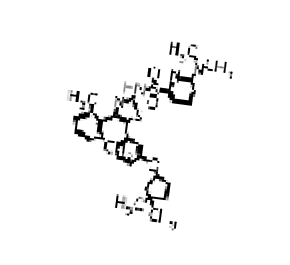 Cc1cccc(C)c1-c1nc(NS(=O)(=O)c2cccc(N(C)C)n2)sc1-c1cccc(OC2CCC(C)(C)C2)c1